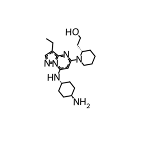 CCc1cnn2c(N[C@H]3CC[C@H](N)CC3)cc(N3CCCC[C@H]3CCO)nc12